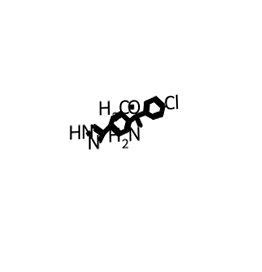 COC(CN)(c1ccc(Cl)cc1)c1ccc(-c2cn[nH]c2)cc1